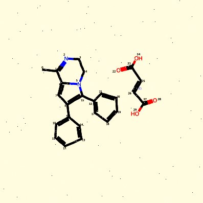 CC1=NCCn2c1cc(-c1ccccc1)c2-c1ccccc1.O=C(O)/C=C/C(=O)O